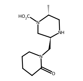 C[C@@H]1CN[C@@H](CN2CCCCC2=O)CN1C(=O)O